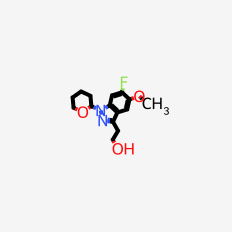 COc1cc2c(CCO)nn(C3CCCCO3)c2cc1F